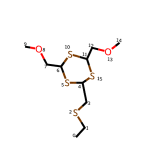 CCSCC1SC(COC)SC(COC)S1